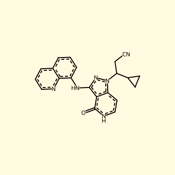 N#CCC(C1CC1)n1nc(Nc2cccc3cccnc23)c2c(=O)[nH]ccc21